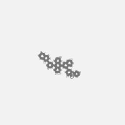 c1cc(-c2ccc3ccccc3c2)cc(-c2c3ccccc3c(-c3cc(-c4ccc5oc6ccccc6c5c4)c4ccccc4c3)c3ccccc23)c1